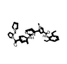 CCc1cccc(CC)c1NC(=O)c1cc(-c2ccnc(Nc3ccc(C(=O)N4CCC[C@@H]4CN4CCCC4)cc3C)n2)n(C)c1